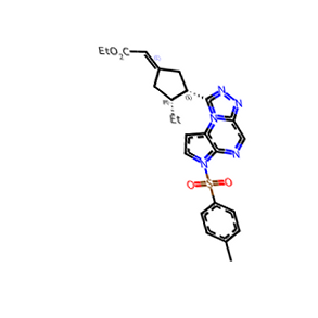 CCOC(=O)/C=C1\C[C@@H](CC)[C@@H](c2nnc3cnc4c(ccn4S(=O)(=O)c4ccc(C)cc4)n23)C1